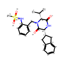 CCC(CC)[C@@H]1C(=O)N[C@H](C2Cc3ccccc3C2)C(=O)N1Cc1ccccc1NS(=O)(=O)C(C)C